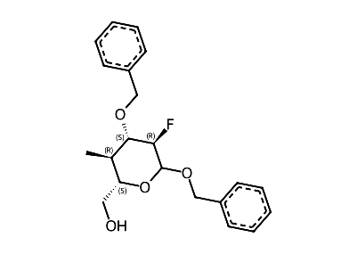 C[C@H]1[C@H](OCc2ccccc2)[C@@H](F)C(OCc2ccccc2)O[C@@H]1CO